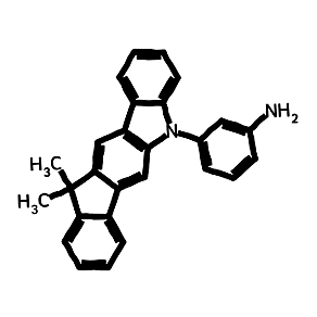 CC1(C)c2ccccc2-c2cc3c(cc21)c1ccccc1n3-c1cccc(N)c1